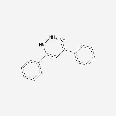 N=C(/C=C(\NN)c1ccccc1)c1ccccc1